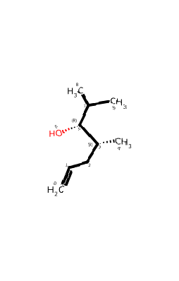 C=CC[C@@H](C)[C@H](O)C(C)C